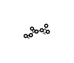 C[Si]1(C)c2ccccc2N(c2ccccc2)c2ccc(-c3ccc4c(c3)c3ccccc3n4-c3ccc4sc5ccccc5c4c3)cc21